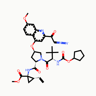 C=C[C@@H]1C[C@]1(NC(=O)[C@@H]1C[C@@H](Oc2cc(C(=O)C=[N+]=[N-])nc3cc(OC)ccc23)CN1C(=O)[C@@H](NC(=O)OC1CCCC1)C(C)(C)C)C(=O)OC